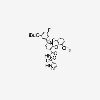 Cc1cccc(C)c1Oc1nc(-c2cc(F)cc(OCC(C)C)c2)ccc1C(=O)NS(=O)(=O)c1ccn[nH]1